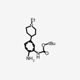 CCN1CCC(c2ccc(N)c(NC(=O)OC(C)(C)C)c2)CC1